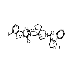 COc1c(F)cccc1-c1cc(=O)n(C[C@]2(O)CCN(C(=O)N3CCNC[C@H]3c3ccccc3)CC23CCCC3)cn1